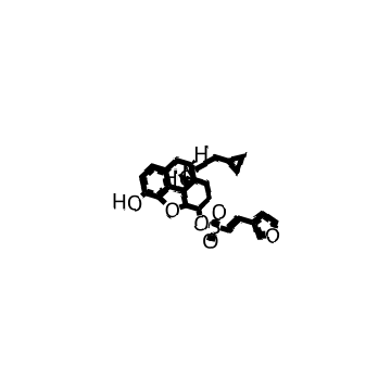 O=S(=O)(C=Cc1ccoc1)OC1CC[C@@]2(O)[C@H]3Cc4ccc(O)c5c4[C@@]2(CCN3CC2CC2)C1O5